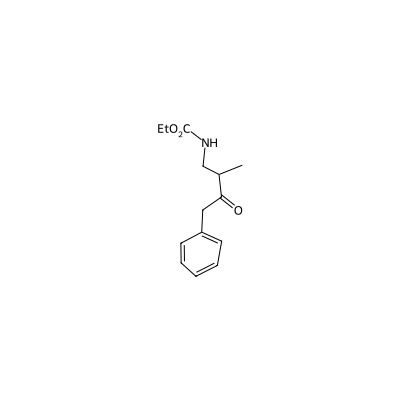 CCOC(=O)NCC(C)C(=O)Cc1ccccc1